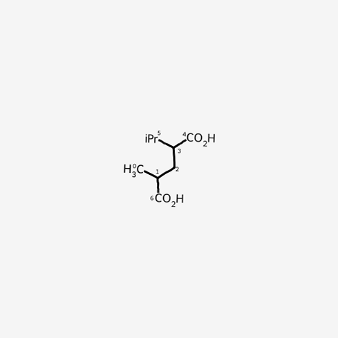 CC(CC(C(=O)O)C(C)C)C(=O)O